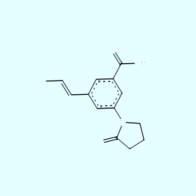 C/C=C/c1cc(C(=O)OC)cc(N2CCCC2=O)c1